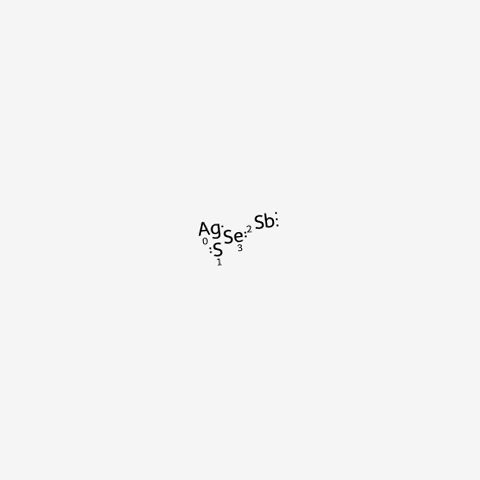 [Ag].[S].[Sb].[Se]